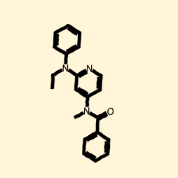 CCN(c1ccccc1)c1cc(N(C)C(=O)c2ccccc2)ccn1